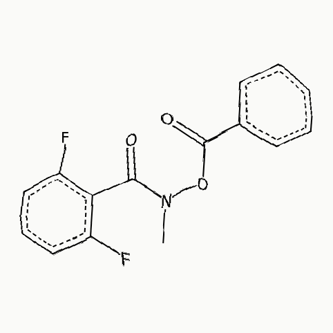 CN(OC(=O)c1ccccc1)C(=O)c1c(F)cccc1F